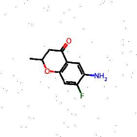 CC1CC(=O)c2cc(N)c(F)cc2O1